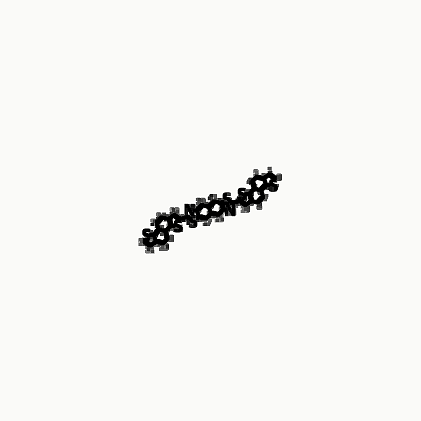 c1cc2ccc3c(ccc4cc(-c5nc6cc7cc8sc(-c9cc%10ccc%11c(ccc%12ccsc%12%11)c%10s9)nc8cc7cc6s5)sc43)c2s1